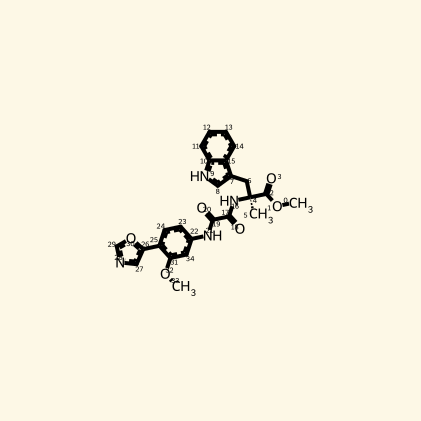 COC(=O)[C@](C)(Cc1c[nH]c2ccccc12)NC(=O)C(=O)Nc1ccc(-c2cnco2)c(OC)c1